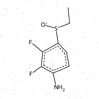 CC[S+]([O-])c1ccc(N)c(F)c1F